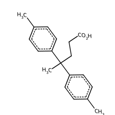 Cc1ccc(C(C)(CCC(=O)O)c2ccc(C)cc2)cc1